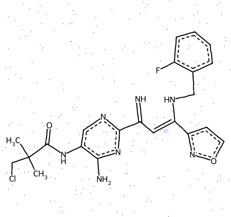 CC(C)(CCl)C(=O)Nc1cnc(C(=N)/C=C(\NCc2ccccc2F)c2ccon2)nc1N